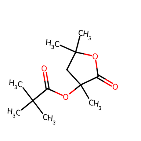 CC1(C)CC(C)(OC(=O)C(C)(C)C)C(=O)O1